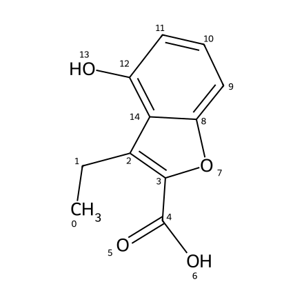 CCc1c(C(=O)O)oc2cccc(O)c12